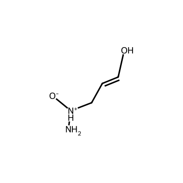 N[NH+]([O-])CC=CO